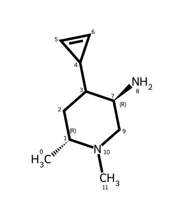 C[C@@H]1CC(C2C=C2)[C@@H](N)CN1C